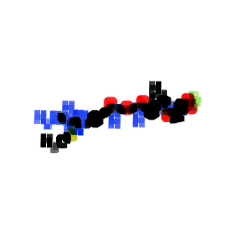 CCCSc1nc(NCCN)c2nnn(Cc3ccc(C#CC(=O)NCCOCCNC(=O)c4cccc(-c5nc(NC(=O)C6(c7ccc8c(c7)OC(F)(F)O8)CC6)ccc5C)c4)cc3)c2n1